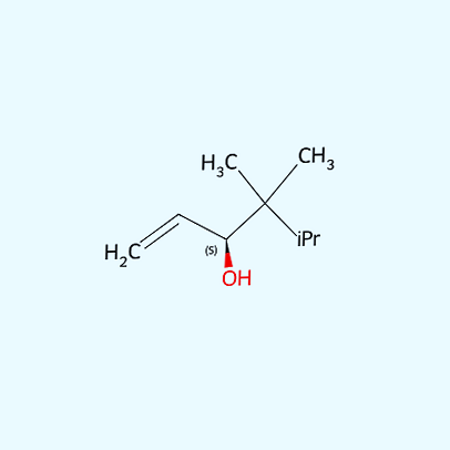 C=C[C@H](O)C(C)(C)C(C)C